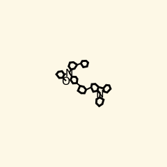 c1ccc(-c2cccc(N3c4ccccc4Oc4cc(-c5cccc(-c6ccc7c8ccccc8n(-c8ccccc8)c7c6)c5)ccc43)c2)cc1